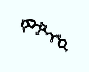 CCn1c(SCC(=O)NC2=CC=C(F)CC2)nnc1-c1ccc2ncn(C)c2c1